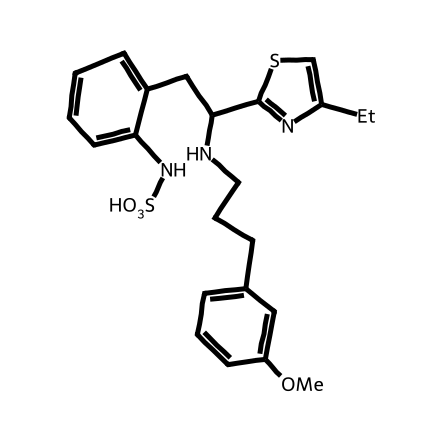 CCc1csc(C(Cc2ccccc2NS(=O)(=O)O)NCCCc2cccc(OC)c2)n1